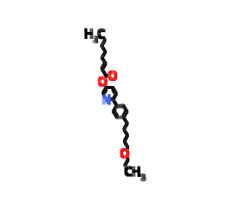 CCCCCC=CC(=O)Oc1ccc(-c2ccc(CCCCCOCCC)cc2)nc1